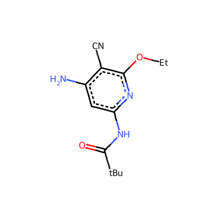 CCOc1nc(NC(=O)C(C)(C)C)cc(N)c1C#N